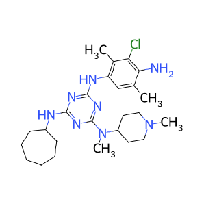 Cc1cc(Nc2nc(NC3CCCCCC3)nc(N(C)C3CCN(C)CC3)n2)c(C)c(Cl)c1N